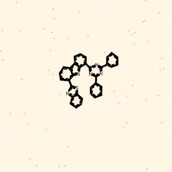 c1ccc(-c2nc(-c3ccccc3)nc(-c3cccc4c3sc3c(-c5nc6ccccc6s5)cccc34)n2)cc1